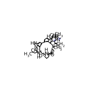 C=C/C(=C(\N=C/C)[C@H](C)OC)c1c2c3cc(ccc3n1CC)-c1cc(c3nc[nH]c3c1)C[C@H](NC(=O)CC(C)C)C(=O)N1CCC[C@H](N1)C(=O)OCC(C)(C)C2